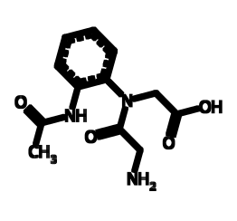 CC(=O)Nc1ccccc1N(CC(=O)O)C(=O)CN